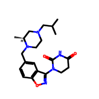 CC(C)CN1CCN(Cc2ccc3onc(N4CCC(=O)NC4=O)c3c2)[C@H](C)C1